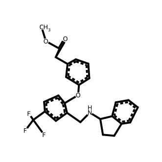 COC(=O)Cc1cccc(Oc2ccc(C(F)(F)F)cc2CNC2CCc3ccccc32)c1